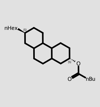 CCCCCC[C@H]1CCC2C(CCC3C[C@@H](OC(=O)CCCC)CCC32)C1